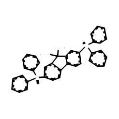 CCCCCCC1(CCCCCC)c2cc(P(=O)(c3ccccc3)c3ccccc3)ccc2-c2ccc(P(=O)(c3ccccc3)c3ccccc3)cc21